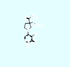 NC(=O)C1(NC(=O)O)CCN(c2cn[nH]c(=O)c2Cl)C1